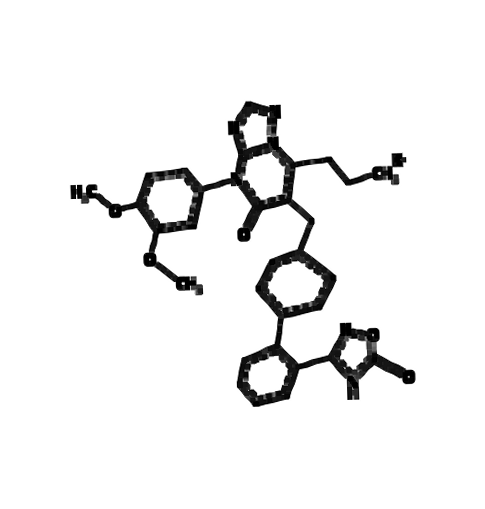 CCCc1c(Cc2ccc(-c3ccccc3-c3noc(=O)[nH]3)cc2)c(=O)n(-c2ccc(OC)c(OC)c2)c2ncnn12.[K]